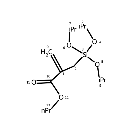 C=C(C[Si](OC(C)C)(OC(C)C)OC(C)C)C(=O)OCCC